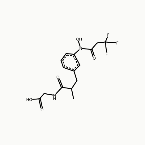 CC(Cc1cccc(N(O)C(=O)CC(F)(F)F)c1)C(=O)NCC(=O)O